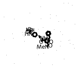 CNC(=O)c1cc(C(=O)NCC[C@H]2CC[C@@H](NC(=O)OC(C)(C)C)CC2)cn(Cc2ccccc2)c1=O